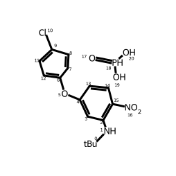 CC(C)(C)Nc1cc(Oc2ccc(Cl)cc2)ccc1[N+](=O)[O-].O=[PH](O)O